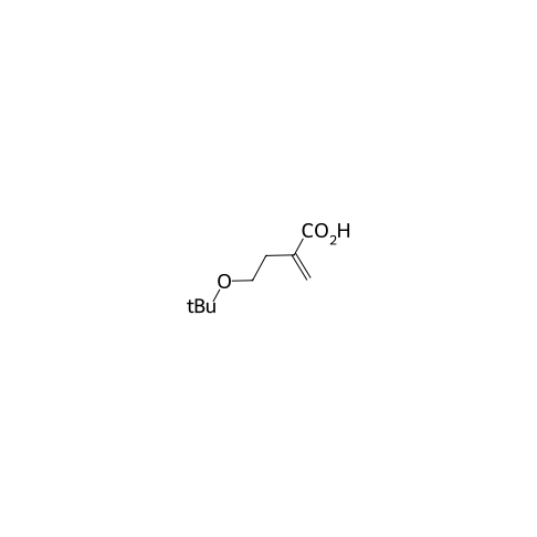 C=C(CCOC(C)(C)C)C(=O)O